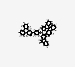 CC1(C)c2ccccc2-c2ccc(N(c3ccc(-c4ccc5c6ccccc6c6ccccc6c5c4)cc3)c3ccc4c(c3)C3(c5ccccc5-c5ccccc53)c3ccccc3-4)cc21